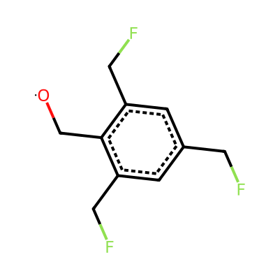 [O]Cc1c(CF)cc(CF)cc1CF